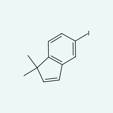 CC1(C)C=Cc2cc(I)ccc21